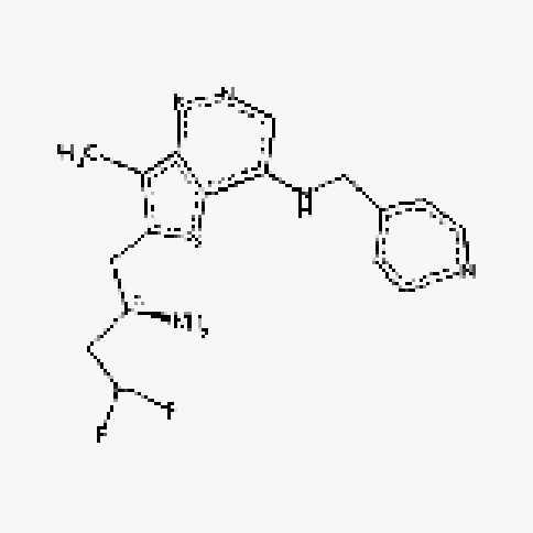 Cc1c(C[C@@H](N)CC(F)F)sc2c(NCc3ccncc3)cnnc12